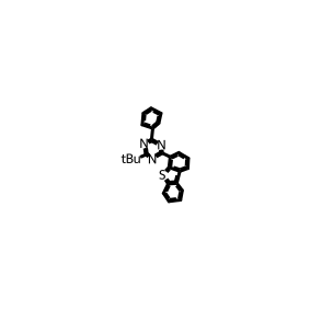 CC(C)(C)c1nc(-c2ccccc2)nc(-c2cccc3c2sc2ccccc23)n1